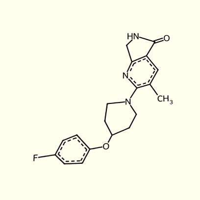 Cc1cc2c(nc1N1CCC(Oc3ccc(F)cc3)CC1)CNC2=O